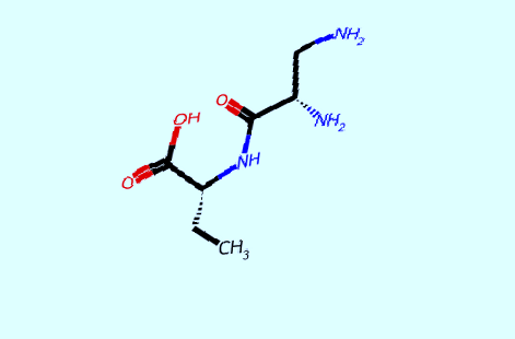 CC[C@@H](NC(=O)[C@@H](N)CN)C(=O)O